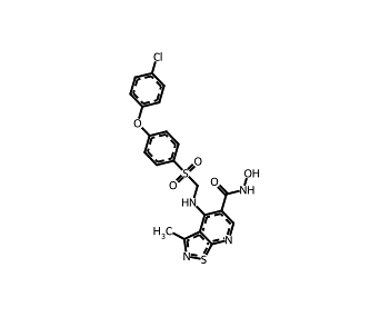 Cc1nsc2ncc(C(=O)NO)c(NCS(=O)(=O)c3ccc(Oc4ccc(Cl)cc4)cc3)c12